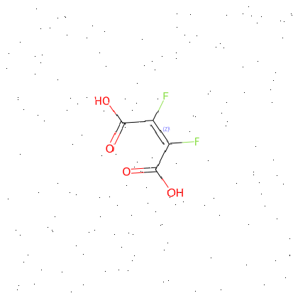 O=C(O)/C(F)=C(/F)C(=O)O